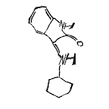 O=C1Nc2ccccc2/C1=C/NC1CCCCC1